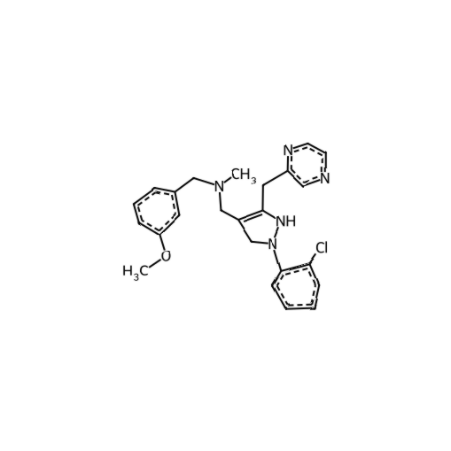 COc1cccc(CN(C)CC2=C(Cc3cnccn3)NN(c3ccccc3Cl)C2)c1